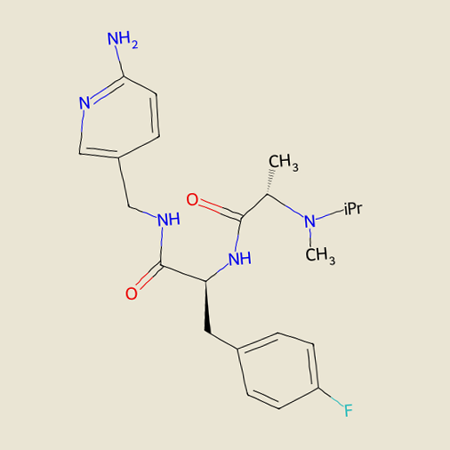 CC(C)N(C)[C@@H](C)C(=O)N[C@@H](Cc1ccc(F)cc1)C(=O)NCc1ccc(N)nc1